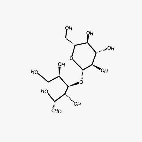 O=C[C@H](O)[C@@H](O)[C@H](O[C@@H]1O[C@H](CO)[C@@H](O)[C@H](O)[C@H]1O)[C@H](O)CO